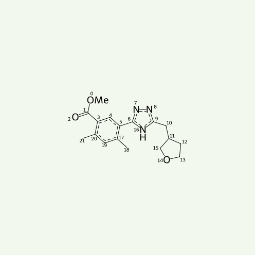 COC(=O)c1cc(-c2nnc(CC3CCOC3)[nH]2)c(C)cc1C